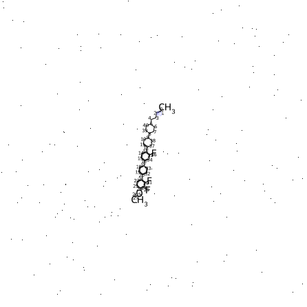 C/C=C/CCC1CCC(C2CC=C(c3ccc(-c4ccc(-c5ccc(OCC)c(F)c5F)cc4)cc3F)CC2)CC1